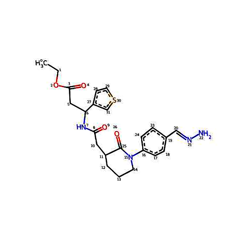 CCOC(=O)CC(NC(=O)CC1CCCN(c2ccc(C=NN)cc2)C1=O)c1ccsc1